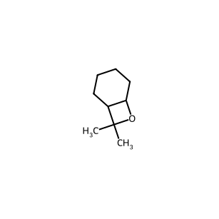 CC1(C)OC2CCCCC21